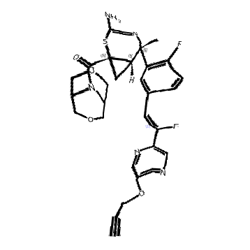 C#CCOc1cnc(/C(F)=C/c2ccc(F)c([C@@]3(C)N=C(N)S[C@@]4(C(=O)N5C6COCC5COC6)C[C@H]43)c2)cn1